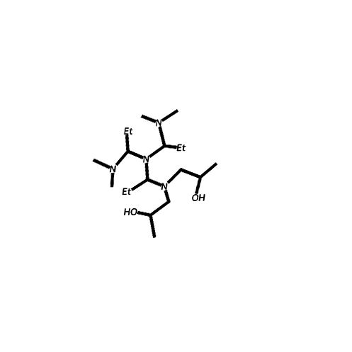 CCC(N(C)C)N(C(CC)N(C)C)C(CC)N(CC(C)O)CC(C)O